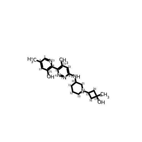 Cc1cnc(-c2nnc(NC3CCCN(C4CC(C)(O)C4)C3)cc2C)c(O)c1